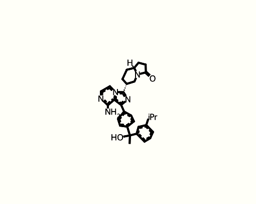 CC(C)c1cccc(C(C)(O)c2ccc(-c3nc([C@@H]4CC[C@H]5CCC(=O)N5C4)n4ccnc(N)c34)cc2)c1